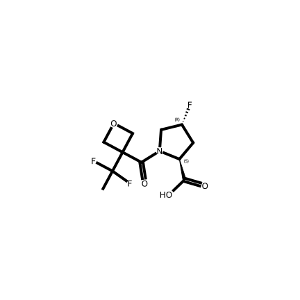 CC(F)(F)C1(C(=O)N2C[C@H](F)C[C@H]2C(=O)O)COC1